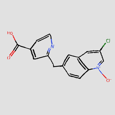 O=C(O)c1ccnc(Cc2ccc3c(cc(Cl)c[n+]3[O-])c2)c1